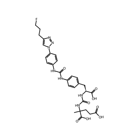 CC(CCC(=O)O)(NC(=O)N[C@@H](Cc1ccc(NC(=O)Nc2ccc(-n3cc(CCCF)nn3)cc2)cc1)C(=O)O)C(=O)O